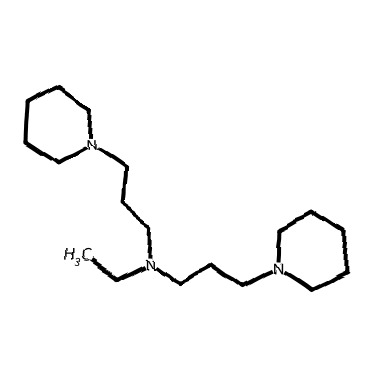 CCN(CCCN1CCCCC1)CCCN1CCCCC1